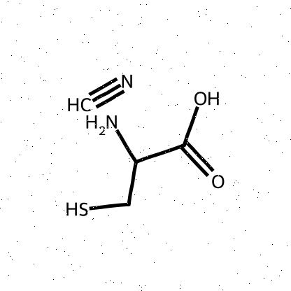 C#N.NC(CS)C(=O)O